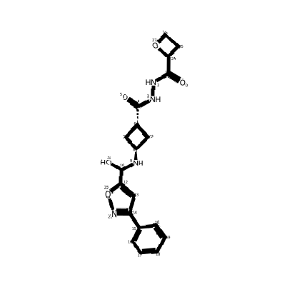 O=C(NNC(=O)[C@H]1C[C@H](NC(O)c2cc(-c3ccccc3)no2)C1)C1CCO1